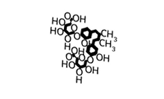 CC(Cc1ccc(O[C@@H]2O[C@H](C(=O)O)[C@@H](O)[C@H](O)[C@H]2O)c(O)c1)C(C)Cc1ccc(O[C@@H]2O[C@H](C(=O)O)[C@@H](O)[C@H](O)[C@H]2O)c(O)c1